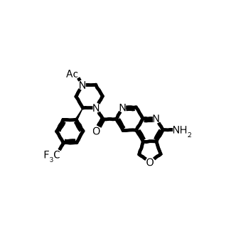 CC(=O)N1CCN(C(=O)c2cc3c4c(c(N)nc3cn2)COC4)[C@@H](c2ccc(C(F)(F)F)cc2)C1